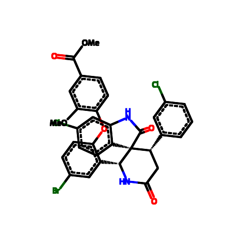 COC(=O)c1ccc(Oc2ccc(Br)cc2[C@H]2NC(=O)C[C@@H](c3cccc(Cl)c3)[C@]23C(=O)Nc2cc(Cl)ccc23)c(OC)c1